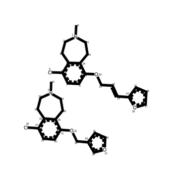 CN1CCc2c(Cl)ccc(OCC=Cc3ccco3)c2CC1.CN1CCc2c(Cl)ccc(OCc3ccoc3)c2CC1